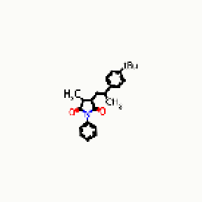 CC(CC1C(=O)N(c2ccccc2)C(=O)C1C)c1ccc(C(C)(C)C)cc1